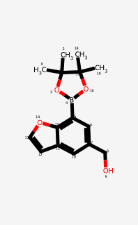 CC1(C)OB(c2cc(CO)cc3ccoc23)OC1(C)C